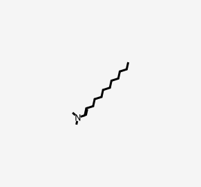 CCCCCCCCCCC=CN(C)C